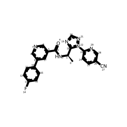 C[C@@H](NC(=O)c1cncc(-c2ccc(F)cc2)c1)c1ncnn1-c1ccc(C#N)cn1